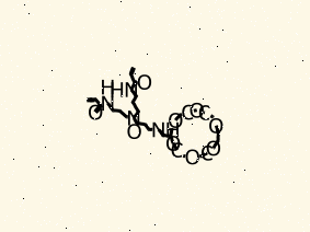 C=CC(=O)NCCCN(CCCNC(=O)C=C)C(=O)CCNCC1COCCOCCOCCOCCOCCO1